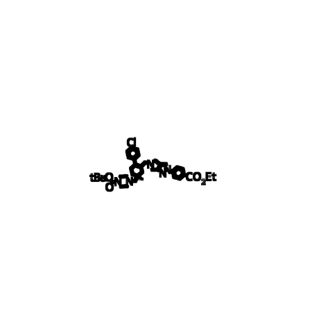 CCOC(=O)c1ccc(-n2cc3c(n2)CN(CC2=C(c4ccc(Cl)cc4)CC[C@@](C)(CN4CCN(C(=O)OC(C)(C)C)CC4)C2)C3)cc1